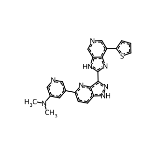 CN(C)c1cncc(-c2ccc3[nH]nc(-c4nc5c(-c6cccs6)cncc5[nH]4)c3n2)c1